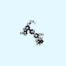 CCOc1cc(-c2ccc(N3CC[C@H](NC(=O)C4(C(F)(F)F)CCC4)[C@H](O)C3)nc2)c2c3cn[nH]c3nn2c1